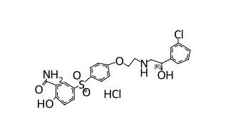 Cl.NC(=O)c1cc(S(=O)(=O)c2ccc(OCCNC[C@H](O)c3cccc(Cl)c3)cc2)ccc1O